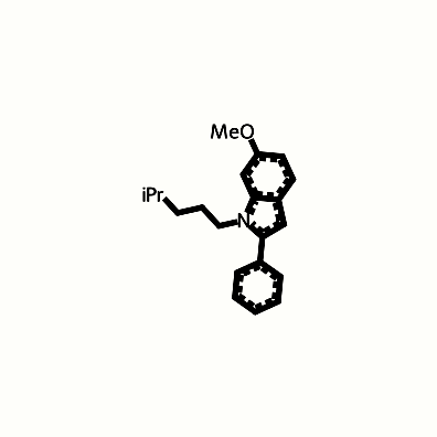 COc1ccc2cc(-c3ccccc3)n(CCCC(C)C)c2c1